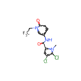 Cn1c(C(=O)Nc2ccc(=O)n(CC(F)(F)F)c2)cc(Cl)c1Cl